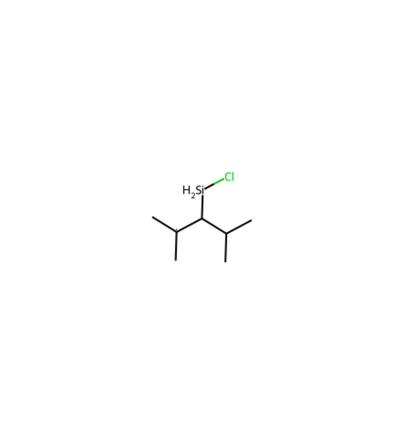 C[C](C)C([SiH2]Cl)C(C)C